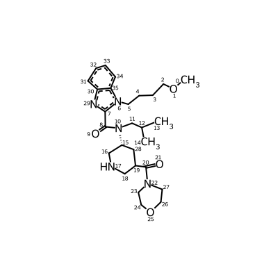 COCCCCn1c(C(=O)N(CC(C)C)[C@H]2CNCC(C(=O)N3CCOCC3)C2)nc2ccccc21